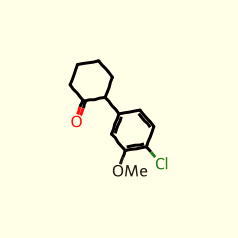 COc1cc(C2CCCCC2=O)ccc1Cl